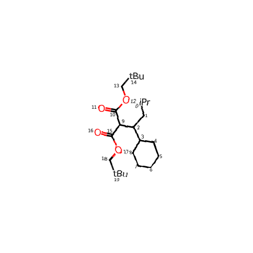 CC(C)CC(C1CCCCC1)C(C(=O)OCC(C)(C)C)C(=O)OCC(C)(C)C